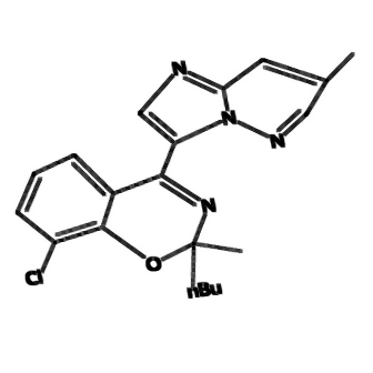 CCCCC1(C)N=C(c2cnc3cc(C)cnn23)c2cccc(Cl)c2O1